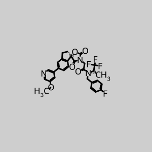 COc1cncc(-c2ccc3c(c2)CC[C@@]32OC(=O)N(CC(=O)N(Cc3ccc(F)cc3)[C@@H](C)C(F)(F)F)C2=O)c1